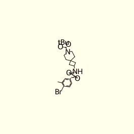 Cc1cc(S(=O)(=O)NC2CC3(CCN(C(=O)OC(C)(C)C)CC3)C2)ccc1Br